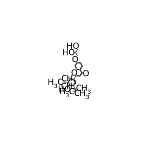 CC(C)(C)c1cc(-c2cc(=O)c3ccc(OCC(O)CO)cc3o2)cc(C(C)(C)C)c1O